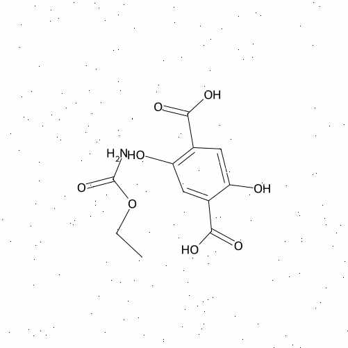 CCOC(N)=O.O=C(O)c1cc(O)c(C(=O)O)cc1O